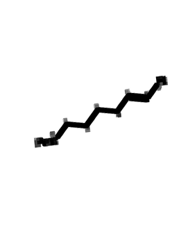 [CH2]CCC(C)CCCCC=CCC